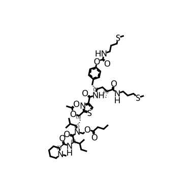 CCCC(=O)OCN(C(=O)[C@H](NC(=O)[C@@H]1CCCCN1C)C(C)CC)[C@@H](C[C@H](OC(C)=O)c1nc(C(=O)N[C@H](Cc2ccc(OC(=O)NCCCSC)cc2)C[C@@H](C)C(=O)NCCCSC)cs1)C(C)C